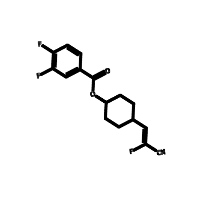 N#CC(F)=CC1CCC(OC(=O)c2ccc(F)c(F)c2)CC1